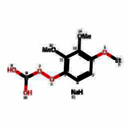 CCOc1ccc(OOB(O)O)c(OC)c1OC.[NaH]